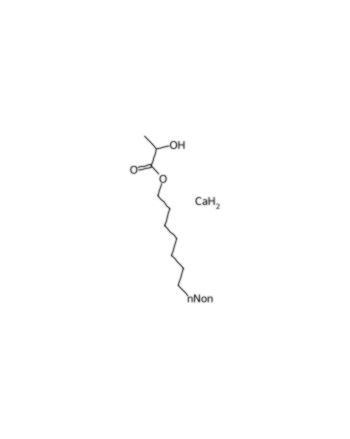 CCCCCCCCCCCCCCCCOC(=O)C(C)O.[CaH2]